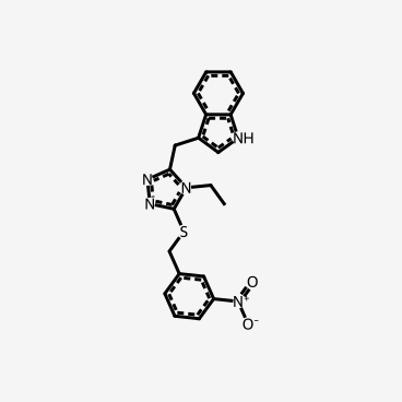 CCn1c(Cc2c[nH]c3ccccc23)nnc1SCc1cccc([N+](=O)[O-])c1